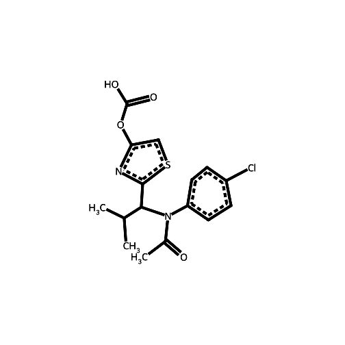 CC(=O)N(c1ccc(Cl)cc1)C(c1nc(OC(=O)O)cs1)C(C)C